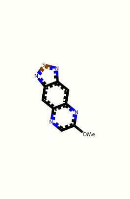 COc1cnc2cc3nsnc3cc2n1